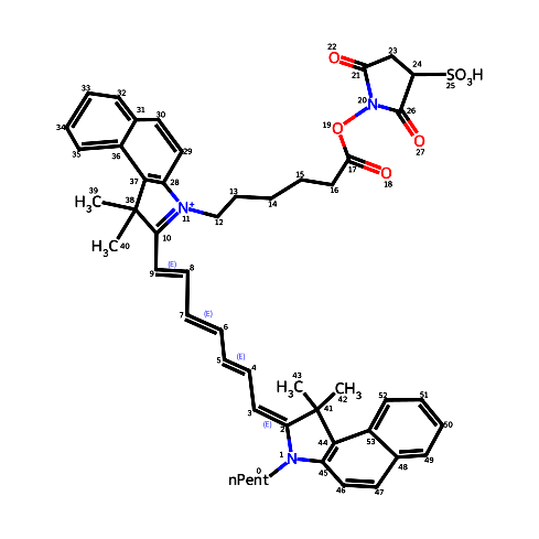 CCCCCN1/C(=C/C=C/C=C/C=C/C2=[N+](CCCCCC(=O)ON3C(=O)CC(S(=O)(=O)O)C3=O)c3ccc4ccccc4c3C2(C)C)C(C)(C)c2c1ccc1ccccc21